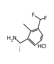 Cc1c(C(F)F)cccc1[C@H](C)N.Cl